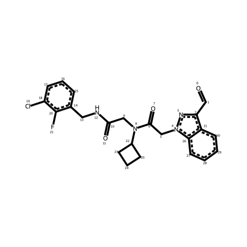 O=Cc1nn(CC(=O)N(CC(=O)NCc2cccc(Cl)c2F)C2CCC2)c2ccccc12